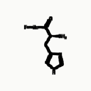 N[C@@H](Cc1c[nH]cn1)[C](=O)[Zn][F]